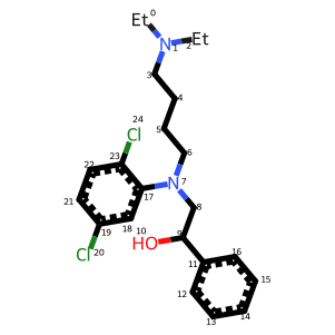 CCN(CC)CCCCN(CC(O)c1ccccc1)c1cc(Cl)ccc1Cl